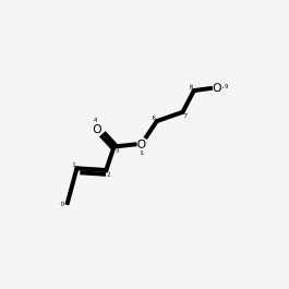 CC=CC(=O)OCCC[O]